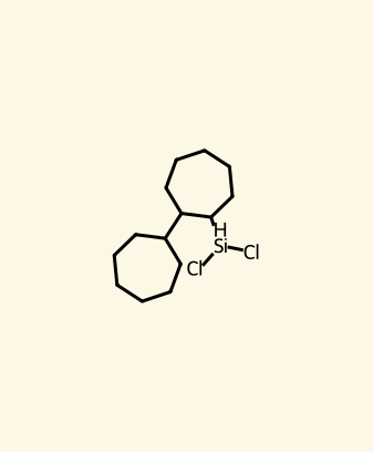 Cl[SiH](Cl)C1CCCCCC1C1CCCCCC1